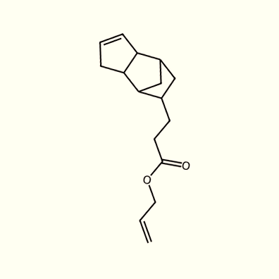 C=CCOC(=O)CCC1CC2CC1C1CC=CC21